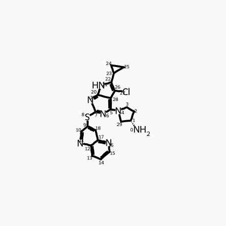 N[C@H]1CCN(c2nc(Sc3cnc4cccnc4c3)nc3[nH]c(C4CC4)c(Cl)c23)C1